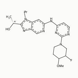 COC1CCN(c2nccc(Nc3cc4c(cn3)nc([C@@H](C)O)n4C(C)C)n2)CC1F